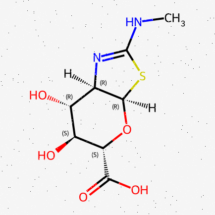 CNC1=N[C@@H]2[C@@H](O)[C@H](O)[C@@H](C(=O)O)O[C@@H]2S1